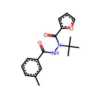 Cc1cccc(C(=O)NN(C(=O)c2ccco2)C(C)(C)C)c1